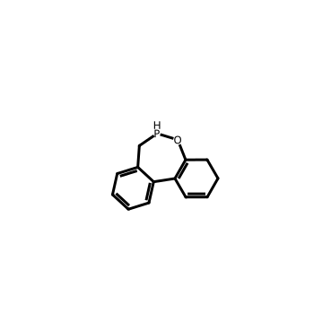 C1=CC2=C(CC1)OPCc1ccccc12